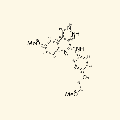 COCCOc1ccc(Nc2nc3ccc(OC)cc3c3cn[nH]c23)cc1